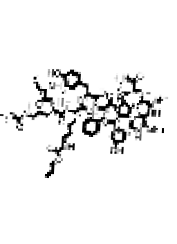 C=CCOC(=O)NCCCC[C@H](NC(=O)[C@H](CCCNC(N)=O)NC(=O)[C@@H](N)CS)C(=O)N[C@@H](Cc1ccc(O)cc1)C(=O)N[C@@H](Cc1ccccc1)C(=O)N1CCC[C@H]1C(=O)N1C[C@H](O)C[C@H]1C(=O)N[C@H](C(=O)N[C@@H](CCC)C(=O)N[C@@H](CS)C(N)=O)[C@@H](C)CC